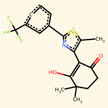 Cc1sc(-c2cccc(C(F)(F)F)c2)nc1C1=C(O)C(C)(C)CCC1=O